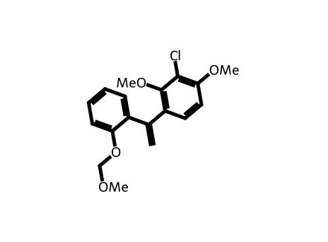 C=C(c1ccccc1OCOC)c1ccc(OC)c(Cl)c1OC